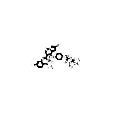 CCc1ccc(F)cc1/N=C(\N)c1cnn2cc(Br)cc2c1N[C@H]1CC[C@H](NC(=O)OC(C)(C)C)CC1